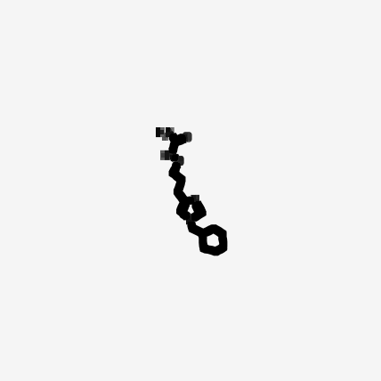 NC(=O)NOCCCc1cn(CC2CCCCC2)cn1